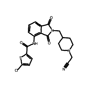 N#CCN1CCC(CN2C(=O)c3cccc(NC(=O)c4ccc(Cl)s4)c3C2=O)CC1